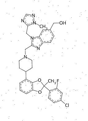 Cn1ncnc1Cn1c(CN2CCC(c3cccc4c3OC(C)(c3ccc(Cl)cc3F)O4)CC2)nc2ccc(CO)cc21